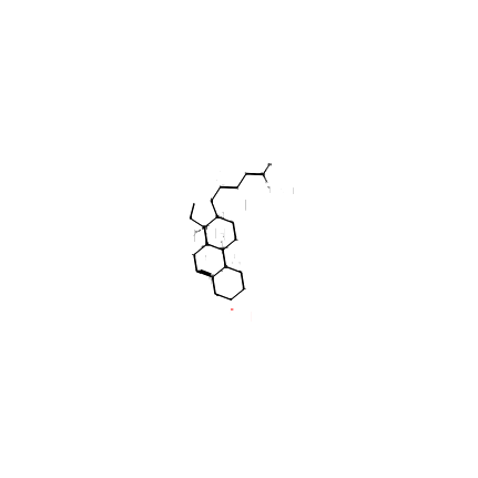 CC(C)C(CC[C@@H](C)[C@H]1CC[C@H]2[C@@H]3CC=C4C[C@@H](O)CC[C@]4(C)[C@H]3CC[C@]12C)C(C)(C)C